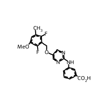 COc1cc(C)c(F)c(COc2cnc(Nc3cccc(C(=O)O)c3)nc2)c1F